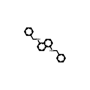 c1ccc(CNc2cccc3c(NCc4ccccc4)cccc23)cc1